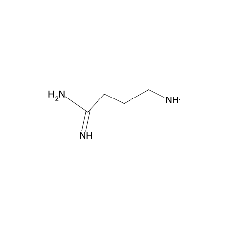 [NH]CCCC(=N)N